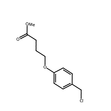 COC(=O)CCCOc1ccc(CCl)cc1